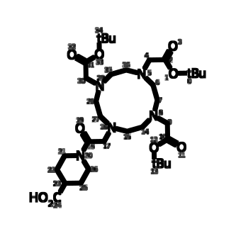 CC(C)(C)OC(=O)CN1CCN(CC(=O)OC(C)(C)C)CCN(CC(=O)N2CCC(C(=O)O)CC2)CCN(CC(=O)OC(C)(C)C)CC1